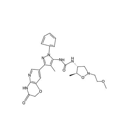 COCCN1C[C@@H](NC(=O)Nc2c(C)c(-c3cnc4c(c3)OCC(=O)N4)nn2-c2ccccc2)[C@H](C)O1